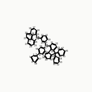 c1ccc(-c2ccc(N(c3cccc(-n4c5cccc6ccc7cccc4c7c65)c3)c3cccc4c3-c3ccccc3C4(c3ccccc3)c3ccccc3)cc2)cc1